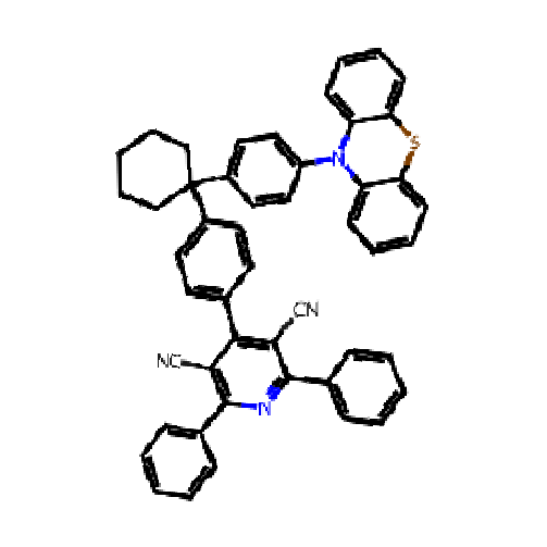 N#Cc1c(-c2ccccc2)nc(-c2ccccc2)c(C#N)c1-c1ccc(C2(c3ccc(N4c5ccccc5Sc5ccccc54)cc3)CCCCC2)cc1